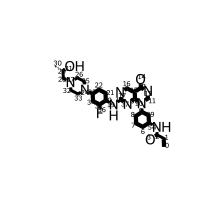 C=CC(=O)Nc1cccc(-n2cnc(=O)c3cnc(Nc4ccc(N5CCN(C[C@H](C)O)CC5)cc4F)nc32)c1